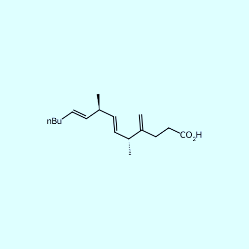 C=C(CCC(=O)O)[C@H](C)/C=C/[C@H](C)/C=C/CCCC